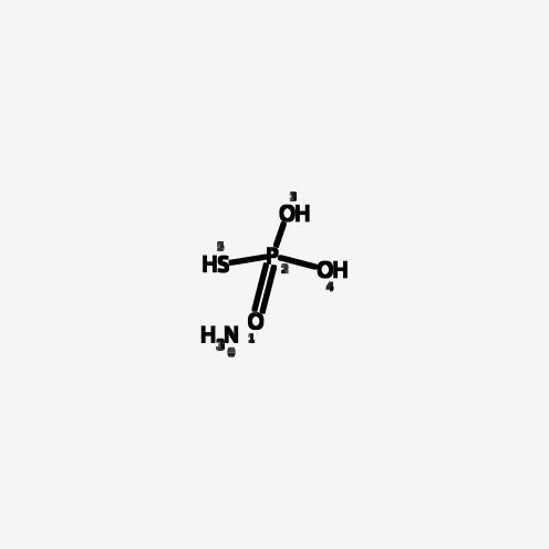 N.O=P(O)(O)S